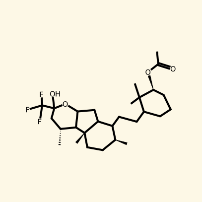 CC(=O)O[C@H]1CCCC(CCC2C3CC4OC(O)(C(F)(F)F)C[C@@H](C)C4[C@@]3(C)CC[C@@H]2C)C1(C)C